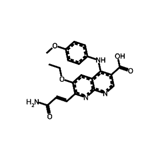 CCOc1cc2c(Nc3ccc(OC)cc3)c(C(=O)O)cnc2nc1C=CC(N)=O